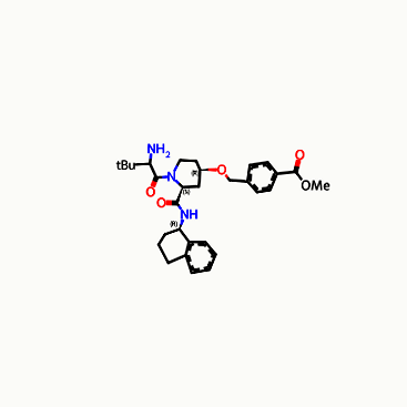 COC(=O)c1ccc(CO[C@@H]2CCN(C(=O)C(N)C(C)(C)C)[C@H](C(=O)N[C@@H]3CCCc4ccccc43)C2)cc1